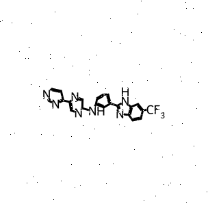 FC(F)(F)c1ccc2nc(-c3cccc(Nc4cnc(-c5ccncn5)cn4)c3)[nH]c2c1